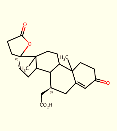 CC12CCC(=O)C=C1C[C@@H](CC(=O)O)C1C2CCC2(C)C1CC[C@@]21CCC(=O)O1